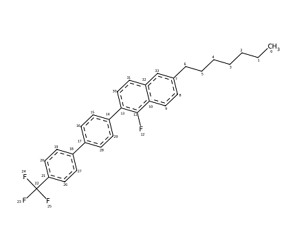 CCCCCCCc1ccc2c(F)c(-c3ccc(-c4ccc(C(F)(F)F)cc4)cc3)ccc2c1